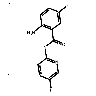 Nc1ccc(F)cc1C(=O)Nc1ccc(Cl)cn1